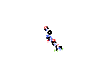 O=C(C[C@H](C(F)F)n1ccc(F)n1)N1CCC(O)(Cn2cnc3c(cnn3-c3cccc(N4CCOCC4)c3)c2=O)CC1